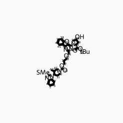 CSc1nc2ccccc2n1C1CCN(C(=O)OCCCOCc2nc(N3C[C@@H](O)C[C@H]3C(=O)OC(C)(C)C)c3oc4ccccc4c3n2)CC1C